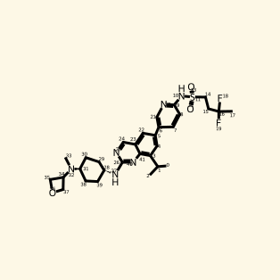 CC(C)c1cc(-c2ccc(NS(=O)(=O)CCC(C)(F)F)nc2)cc2cnc(N[C@H]3CC[C@H](N(C)C4COC4)CC3)nc12